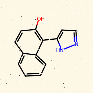 Oc1ccc2ccccc2c1-c1ccn[nH]1